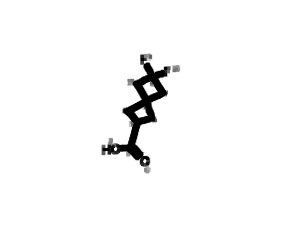 O=C(O)C1CC2(C1)CC(F)(F)C2